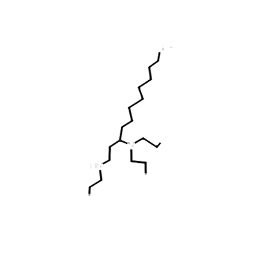 CCCCCCCCCCCCCCCCCCC(CCNCCO)N(CCO)CCO.F